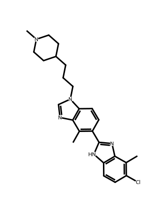 Cc1c(Cl)ccc2[nH]c(-c3ccc4c(ncn4CCCC4CCN(C)CC4)c3C)nc12